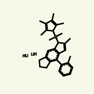 CC1=Cc2c(cc3c(c2-c2ccccc2C)CCC3)C1[Si](C)(C)C1C(C)=C(C)C(C)=C1C.[LiH].[LiH]